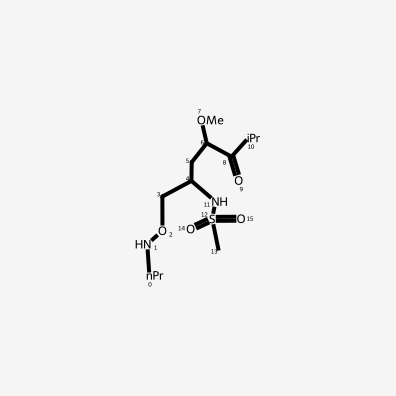 [CH2]CCNOCC(CC(OC)C(=O)C(C)C)NS(C)(=O)=O